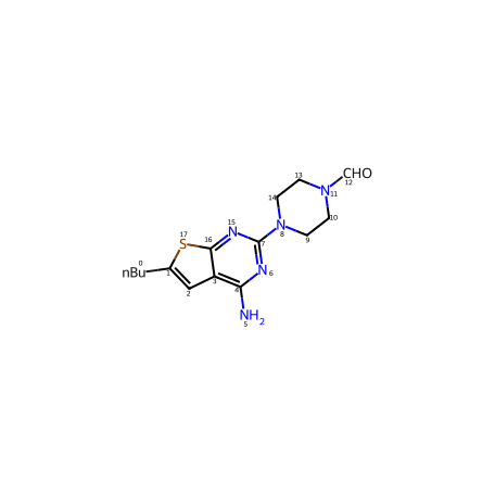 CCCCc1cc2c(N)nc(N3CCN(C=O)CC3)nc2s1